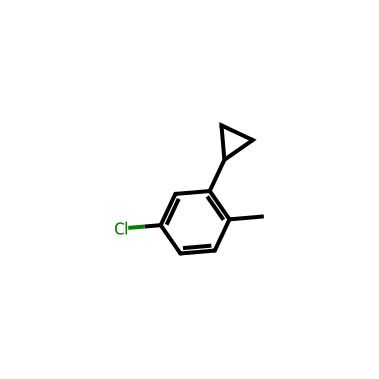 Cc1ccc(Cl)cc1C1CC1